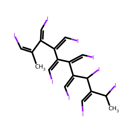 C/C(=C/I)C(=CI)C(=C/I)/C(=C/I)C(=C/I)/C(=C/I)C(I)/C(=C/I)C(C)I